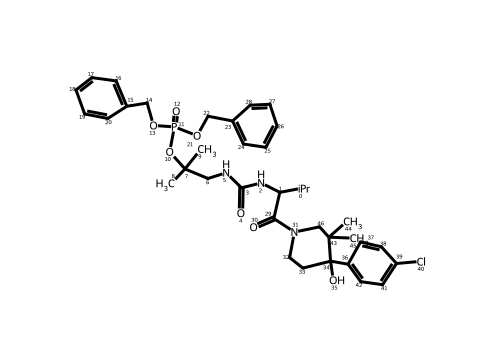 CC(C)C(NC(=O)NCC(C)(C)OP(=O)(OCc1ccccc1)OCc1ccccc1)C(=O)N1CCC(O)(c2ccc(Cl)cc2)C(C)(C)C1